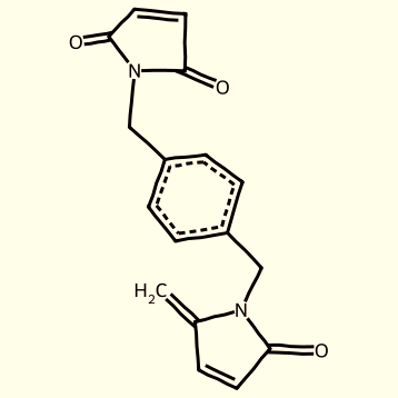 C=C1C=CC(=O)N1Cc1ccc(CN2C(=O)C=CC2=O)cc1